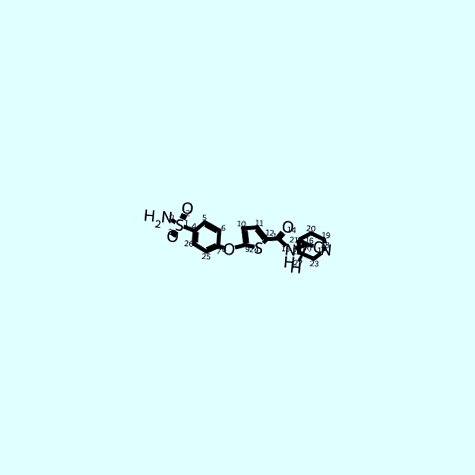 NS(=O)(=O)c1ccc(Oc2ccc(C(=O)N[C@H]3CN4CCC3CC4)s2)cc1